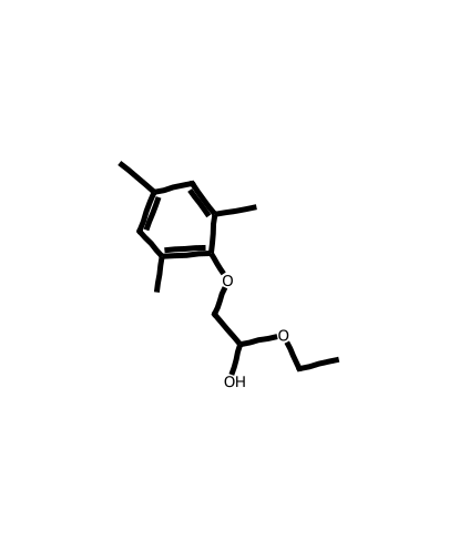 CCOC(O)COc1c(C)cc(C)cc1C